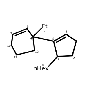 CCCCCC[C]1CCC=C1C1(CC)C=CCCC1